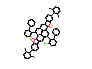 Cc1cccc(C)c1-c1ccc2c(c1)oc1c2cc2cc(-c3c(F)cccc3-c3ccccc3)c3c4oc5cc(-c6c(C)cccc6C)ccc5c4cc4c(-c5c(F)cccc5-c5ccccc5)cc1c2c43